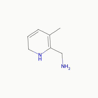 CC1=C(CN)NCC=C1